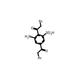 CC(=O)CC(=O)c1cc(N)c(C(=O)CC(C)=O)c(S(=O)(=O)O)c1